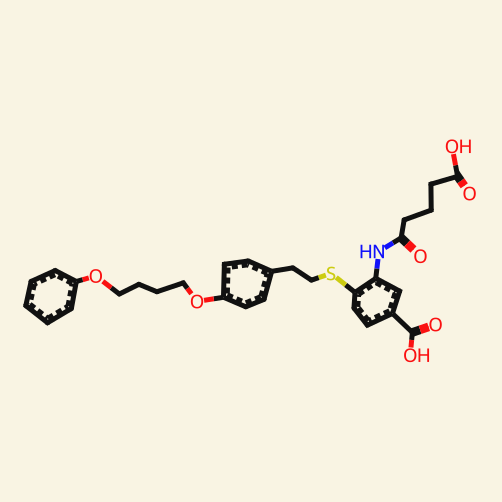 O=C(O)CCCC(=O)Nc1cc(C(=O)O)ccc1SCCc1ccc(OCCCCOc2ccccc2)cc1